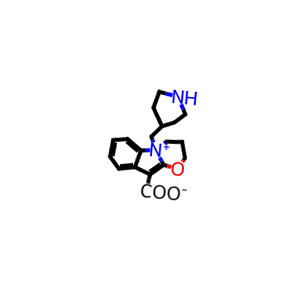 O=C([O-])C1=C2OCCC[N+]2(CC2CCNCC2)c2ccccc21